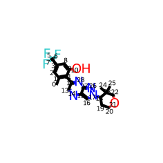 Cc1cc(C(F)(F)F)cc(O)c1-c1cnc2cn(C3CCOCC3(C)C)nc2n1